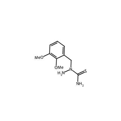 COc1cccc(CN(N)C(N)=S)c1OC